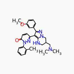 COc1cccc(-c2nn3c(c2-c2ccc(=O)n(-c4ccccc4C)n2)NCC(CN(C)C)C3)c1